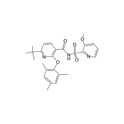 COc1cccnc1S(=O)(=O)NC(=O)c1ccc(C(C)(C)C)nc1Oc1c(C)cc(C)cc1C